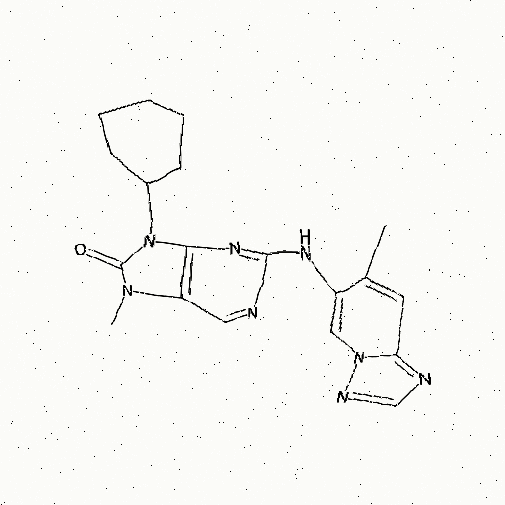 Cc1cc2ncnn2cc1Nc1ncc2c(n1)n(C1CCCCC1)c(=O)n2C